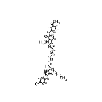 CCCSc1nc(NCCOCCOCc2nc3c(s2)c2cnn(Cc4cccc(OC)c4)c(=O)c2n3C)c2nnn(Cc3ccc(Cl)cc3)c2n1